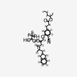 CCCC(C)OC(=O)CCc1ccc(C#N)c(OC[C@H](O)CN(C)C(C)CC2Cc3ccccc3C2)c1.O=C(O)C(F)(F)F